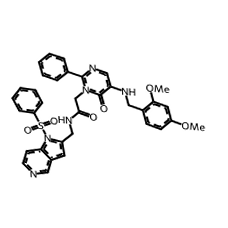 COc1ccc(CNc2cnc(-c3ccccc3)n(CC(=O)NCc3cc4cnccc4n3S(=O)(=O)c3ccccc3)c2=O)c(OC)c1